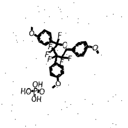 COc1ccc(C2OC(F)(c3ccc(OC)cc3)C(F)(F)C(F)(c3ccc(OC)cc3)C2(F)F)cc1.O=P(O)(O)O